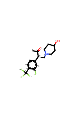 CC(=O)[C@@H](CN1CCC(O)CC1)c1ccc(C(F)(F)F)c(F)c1